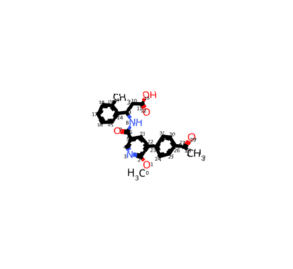 COc1ncc(C(=O)NC(CC(=O)O)c2ccccc2C)cc1-c1ccc(C(C)=O)cc1